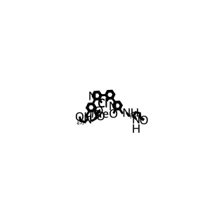 COc1nc(-c2cccc(-c3ccnc(-c4ccc5c(c4)S(=O)(=O)CCN(C[C@H](C)O)C5)c3Cl)c2Cl)ccc1CNC[C@@H]1CCC(=O)N1